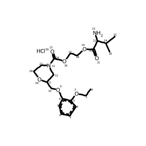 CCOc1ccccc1OCC1CN(C(=O)OCCOC(=O)C(N)C(C)C)CCO1.Cl